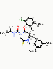 CC[C@@H](NC(=O)N1CC(=S)N(Cc2c(OC)cc(OC)cc2OC)C[C@@H](Cc2cc(Cl)ccc2OC)C1=O)C(=O)O